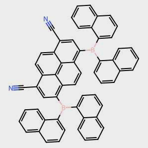 N#Cc1cc(B(c2cccc3ccccc23)c2cccc3ccccc23)c2ccc3c(B(c4cccc5ccccc45)c4cccc5ccccc45)cc(C#N)c4ccc1c2c43